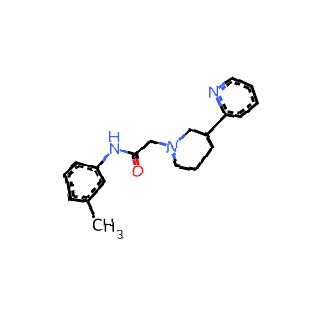 Cc1cccc(NC(=O)CN2CCCC(c3ccccn3)C2)c1